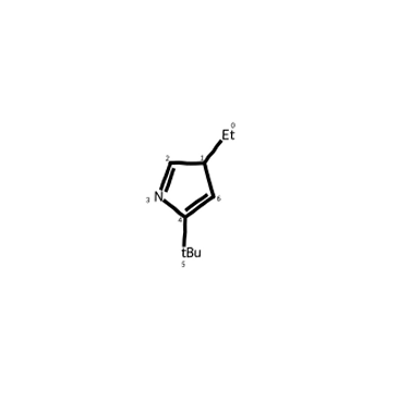 CCC1C=NC(C(C)(C)C)=C1